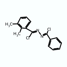 Cc1cccc(/C(Cl)=N/N=C(\Cl)c2ccccc2)c1C